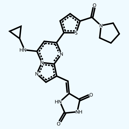 O=C1NC(=O)/C(=C/c2cnn3c(NC4CC4)cc(-c4ccc(C(=O)N5CCCC5)s4)nc23)N1